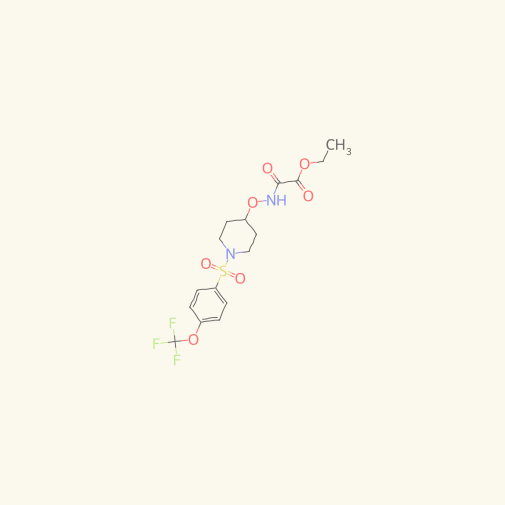 CCOC(=O)C(=O)NOC1CCN(S(=O)(=O)c2ccc(OC(F)(F)F)cc2)CC1